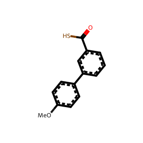 COc1ccc(-c2cccc(C(=O)S)c2)cc1